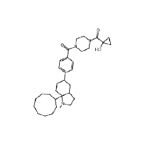 CN1CCC2CC(c3ccc(C(=O)N4CCN(C(=O)C5(O)CC5)CC4)cc3)CCC21C1CCCCCCCC1